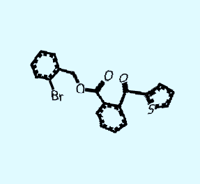 O=C(OCc1ccccc1Br)c1ccccc1C(=O)c1cccs1